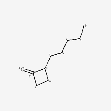 CCCCCC1CCC1=O